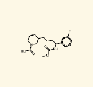 COC(=O)NC(CCCC1CCCN(C(=O)O)C1)c1cccc(F)c1